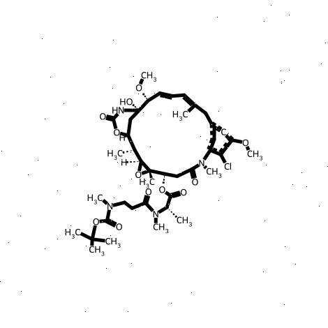 COc1cc2cc(c1Cl)N(C)C(=O)C[C@H](OC(=O)[C@H](C)N(C)C(=O)CCN(C)C(=O)OC(C)(C)C)[C@]1(C)O[C@H]1[C@H](C)[C@@H]1C[C@@](O)(NC(=O)O1)[C@H](OC)/C=C/C=C(\C)C2